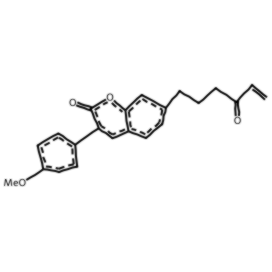 C=CC(=O)CCCc1ccc2cc(-c3ccc(OC)cc3)c(=O)oc2c1